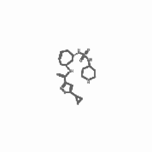 O=C(N[C@H]1CC=CC[C@H](NS(=O)(=O)NC2CCNCC2)C1)c1cc(C2CC2)on1